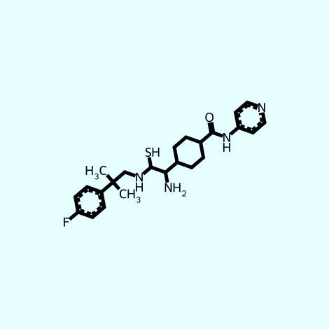 CC(C)(CNC(S)C(N)C1CCC(C(=O)Nc2ccncc2)CC1)c1ccc(F)cc1